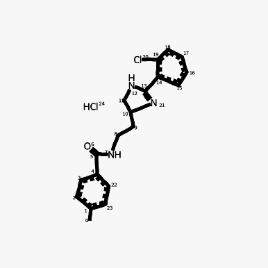 Cc1ccc(C(=O)NCCC2CNC(c3ccccc3Cl)=N2)cc1.Cl